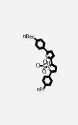 CCCCCCCCCCc1ccc(-c2ccc(C3=CC=C(c4ccc(CCC)cc4)[SH]3[Si](Cl)(Cl)Cl)s2)cc1